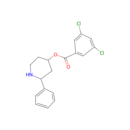 O=C(OC1CCNC(c2ccccc2)C1)c1cc(Cl)cc(Cl)c1